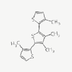 Cc1ccsc1-c1sc(-c2sccc2C)c(C)c1C